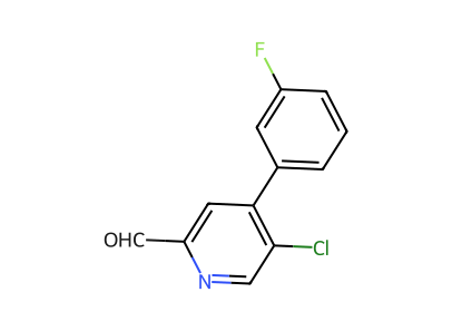 O=Cc1cc(-c2cccc(F)c2)c(Cl)cn1